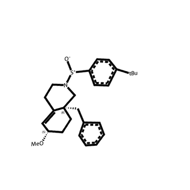 CO[C@@H]1C=C2CCN([S+]([O-])c3ccc(C(C)(C)C)cc3)C[C@@]2(Cc2ccccc2)CC1